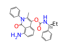 CC[C@H](NC(=O)Oc1c(C)n(-c2ccccc2)c(=O)c2c(N)cccc12)c1ccccc1